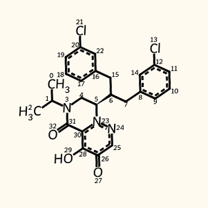 CC(C)N1C[C@@H](C(Cc2cccc(Cl)c2)Cc2cccc(Cl)c2)n2ncc(=O)c(O)c2C1=O